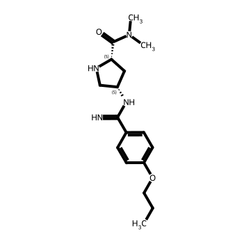 CCCOc1ccc(C(=N)N[C@@H]2CN[C@H](C(=O)N(C)C)C2)cc1